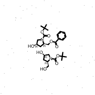 CC(C)(C)OC(=O)N1C[C@H](O)C[C@@H]1CO.CC(C)(C)OC(=O)N1C[C@H](O)C[C@@H]1COC(=O)c1ccccc1